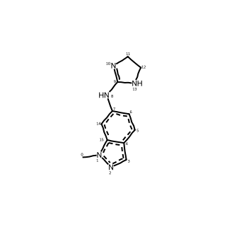 Cn1ncc2ccc(NC3=NCCN3)cc21